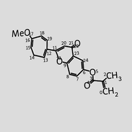 C=C(C)C(=O)Oc1ccc2oc(C3=CCC=C(OC)C=C3)cc(=O)c2c1